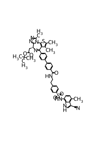 Cc1sc2c(c1C)C(c1ccc(-c3ccc(C(=O)NCCc4ccc(S(=O)(=O)Nc5ccc(C)c6c(C#N)c[nH]c56)cc4)cc3)cc1)=N[C@@H](CC(=O)OC(C)(C)C)c1nnc(C)n1-2